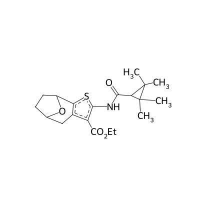 CCOC(=O)c1c(NC(=O)C2C(C)(C)C2(C)C)sc2c1CC1CCC2O1